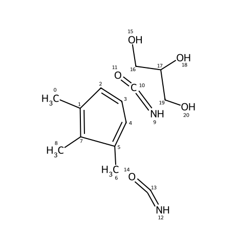 Cc1cccc(C)c1C.N=C=O.N=C=O.OCC(O)CO